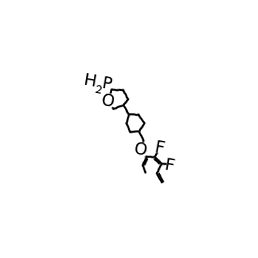 C=C/C(F)=C(F)\C(=C/C)OCC1CCC(C2CCC(P)OC2)CC1